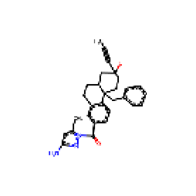 CC#CC1(O)CCC2(Cc3ccccc3)c3ccc(C(=O)n4nc(N)cc4C)cc3CCC2C1